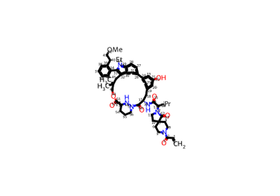 C=CC(=O)N1CCC2(CC1)CCN(C(C(=O)N[C@H]1Cc3cc(O)cc(c3)-c3ccc4c(c3)c(c(-c3ccccc3CCOC)n4CC)CC(C)(C)COC(=O)[C@@H]3CCCN(N3)C1=O)C(C)C)C2=O